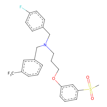 CS(=O)(=O)c1cccc(OCCCN(Cc2ccc(F)cc2)Cc2cccc(C(F)(F)F)c2)c1